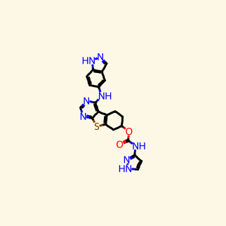 O=C(Nc1cc[nH]n1)OC1CCc2c(sc3ncnc(Nc4ccc5[nH]ncc5c4)c23)C1